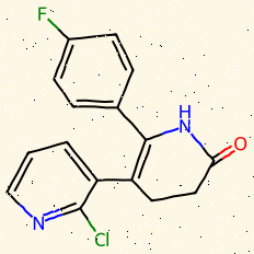 O=C1CCC(c2cccnc2Cl)=C(c2ccc(F)cc2)N1